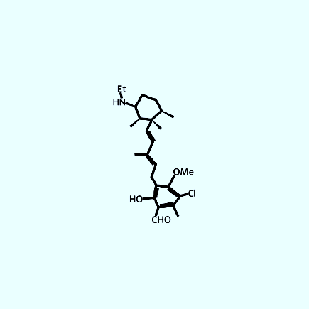 CCN[C@H]1CC[C@@H](C)[C@](C)(/C=C/C(C)=C/Cc2c(O)c(C=O)c(C)c(Cl)c2OC)[C@H]1C